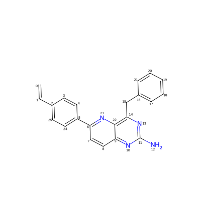 C=Cc1ccc(-c2ccc3nc(N)nc(Cc4ccccc4)c3n2)cc1